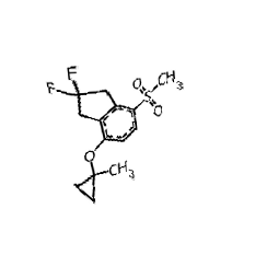 CC1(Oc2ccc(S(C)(=O)=O)c3c2CC(F)(F)C3)CC1